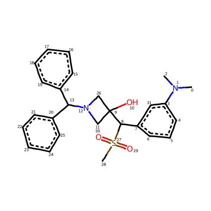 CN(C)c1cccc(C(C2(O)CN(C(c3ccccc3)c3ccccc3)C2)S(C)(=O)=O)c1